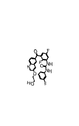 O=C(Nc1cccc(F)c1)Nc1cc(F)cc(C(=O)c2ccc3ncc(OCCO)cc3c2)c1F